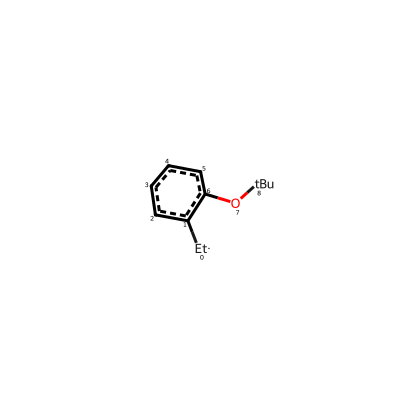 C[CH]c1ccccc1OC(C)(C)C